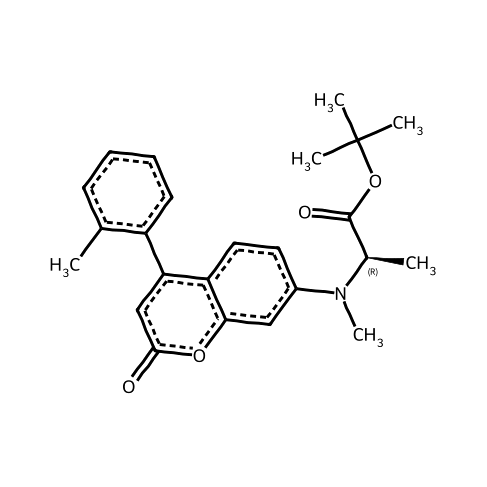 Cc1ccccc1-c1cc(=O)oc2cc(N(C)[C@H](C)C(=O)OC(C)(C)C)ccc12